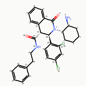 N[C@H]1CCCC[C@@H]1N1C(=O)c2ccccc2[C@@H](C(=O)NCCc2ccccc2)[C@@H]1c1ccc(Cl)cc1Cl